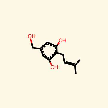 CC(C)=CCc1c(O)cc(CO)cc1O